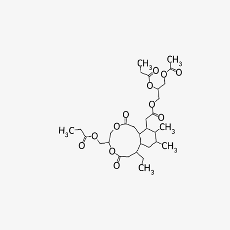 CCC(=O)OCC1COC(=O)CC2C(CC(C)C(C)C2CC(=O)OCC(COC(C)=O)OC(=O)CC)C(CC)CC(=O)O1